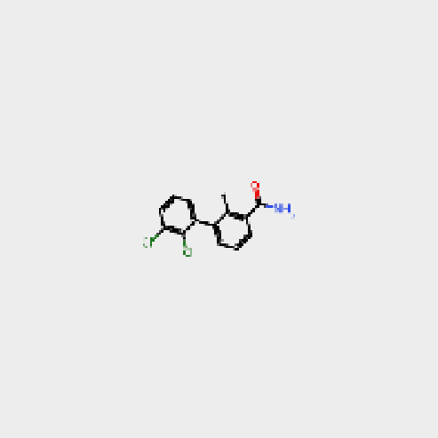 Cc1c(C(N)=O)cccc1-c1cccc(Cl)c1Cl